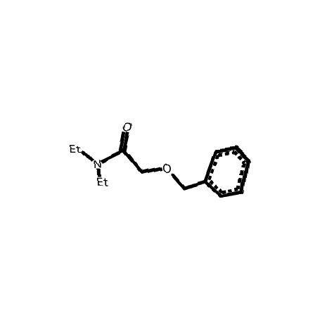 CCN(CC)C(=O)COCc1ccccc1